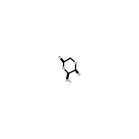 C=C1OC(=O)COC1=O